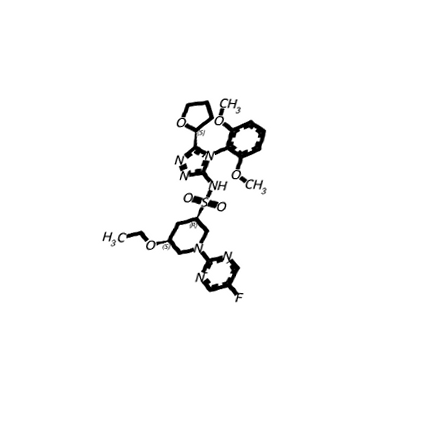 CCO[C@H]1C[C@@H](S(=O)(=O)Nc2nnc([C@@H]3CCCO3)n2-c2c(OC)cccc2OC)CN(c2ncc(F)cn2)C1